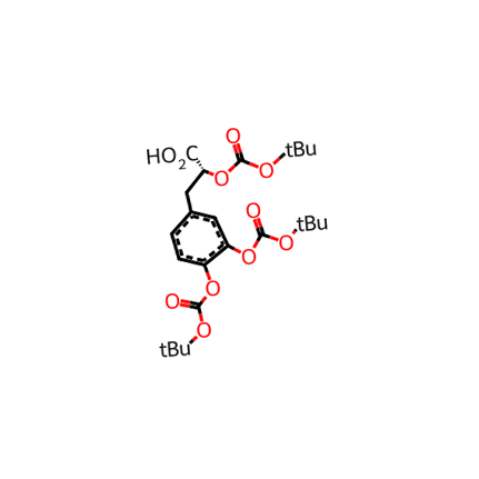 CC(C)(C)OC(=O)Oc1ccc(C[C@@H](OC(=O)OC(C)(C)C)C(=O)O)cc1OC(=O)OC(C)(C)C